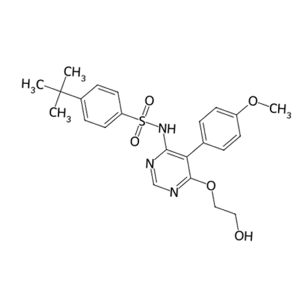 COc1ccc(-c2c(NS(=O)(=O)c3ccc(C(C)(C)C)cc3)ncnc2OCCO)cc1